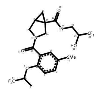 CSc1ccc(OC(C)C(F)(F)F)c(C(=O)N2CC3CC3(C(=O)NCC(O)C(F)(F)F)C2)c1